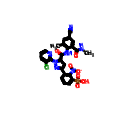 CNC(=O)c1cc(C#N)cc(C)c1NC(=O)C1CC(c2cccc(S(=O)(=O)O)c2[N+](=O)[O-])=NN1c1ncccc1Cl